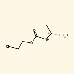 C[C@@H](NC(=O)OCCCl)C(=O)O